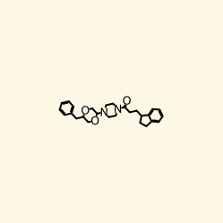 O=C(CCC1CCc2ccccc21)N1CCN(C2COC(Cc3ccccc3)CO2)CC1